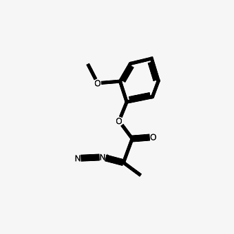 COc1ccccc1OC(=O)C(C)=[N+]=[N-]